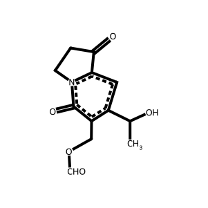 CC(O)c1cc2n(c(=O)c1COC=O)CCC2=O